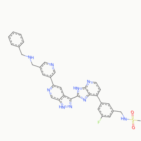 CS(=O)(=O)NCc1cc(F)cc(-c2ccnc3[nH]c(-c4n[nH]c5cnc(-c6cncc(CNCc7ccccc7)c6)cc45)nc23)c1